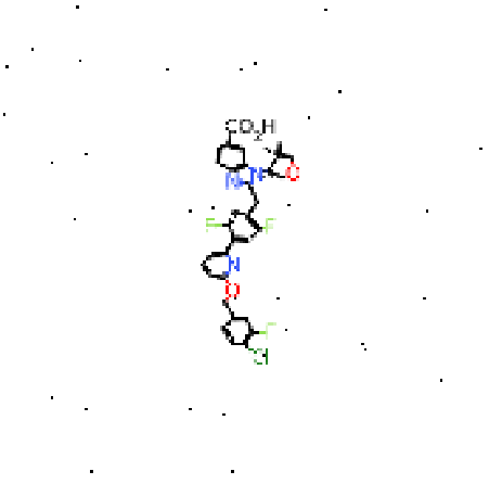 CC1(C)COC[C@H]1n1c(Cc2cc(F)c(-c3cccc(OCc4ccc(Cl)c(F)c4)n3)cc2F)nc2ccc(C(=O)O)cc21